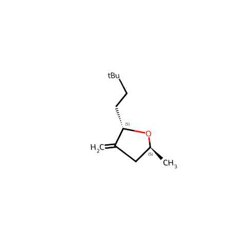 C=C1C[C@H](C)O[C@H]1CCC(C)(C)C